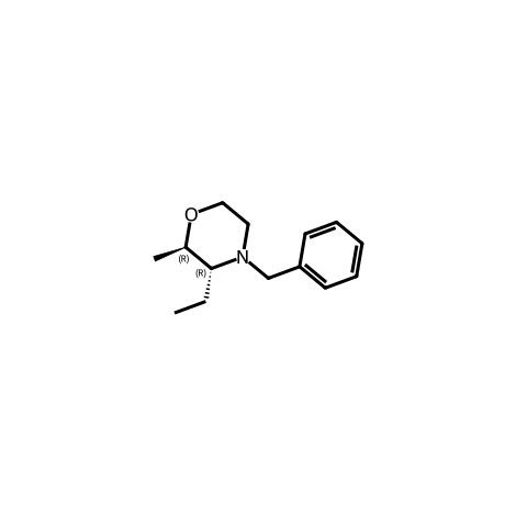 CC[C@@H]1[C@@H](C)OCCN1Cc1ccccc1